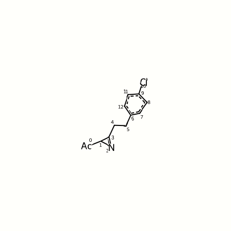 CC(=O)C1N=C1CCc1ccc(Cl)cc1